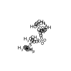 C=CC(=O)OC(COC(=O)c1cc(-c2ccc(C(=O)O)c(C(=O)C(C)C)c2)ccc1C(=O)O)COc1ccc(C2(c3ccc(OCC(COC(C)C)OC(=O)CCSCCC[Si](OC)(OC)OC)cc3)c3ccccc3-c3ccccc32)cc1